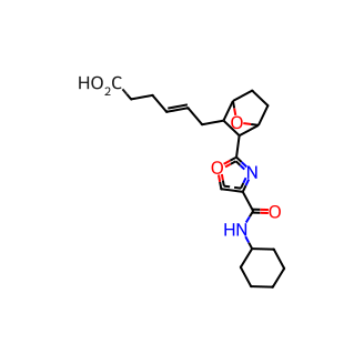 O=C(O)CCC=CCC1C2CCC(O2)C1c1nc(C(=O)NC2CCCCC2)co1